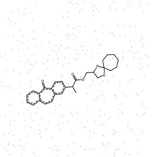 CC(C(=O)OCC1COC2(CCCCCC2)O1)c1ccc2c(=O)c3ccccc3ccc2c1